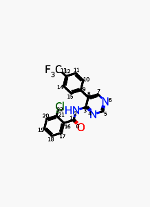 O=C(Nc1ncncc1-c1ccc(C(F)(F)F)cc1)c1ccccc1Cl